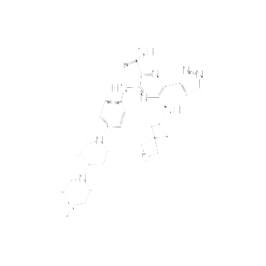 CN1CCN(C2CCN(c3ccc(Nc4nc(NC5CC6(COC6)C5)c(C5=CCN=N5)nc4C(N)=O)cc3)CC2)CC1